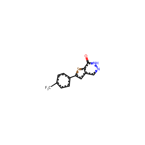 O=c1[nH]ncc2cc(-c3ccc(C(F)(F)F)cc3)sc12